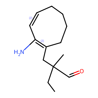 CCC(C)(C=O)C/C1=C(N)/C=C\CCCC1